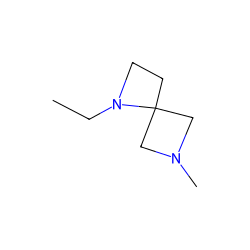 CCN1CCC12CN(C)C2